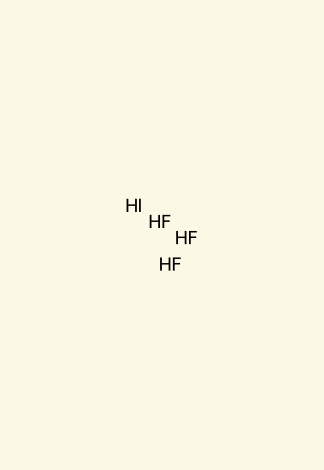 F.F.F.I